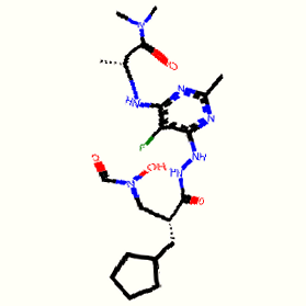 Cc1nc(NNC(=O)[C@H](CC2CCCC2)CN(O)C=O)c(F)c(N[C@H](C)C(=O)N(C)C)n1